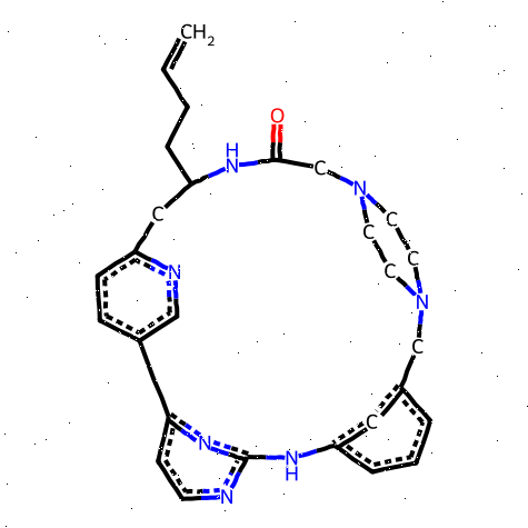 C=CCCC1Cc2ccc(cn2)-c2ccnc(n2)Nc2cccc(c2)CN2CCN(CC2)CC(=O)N1